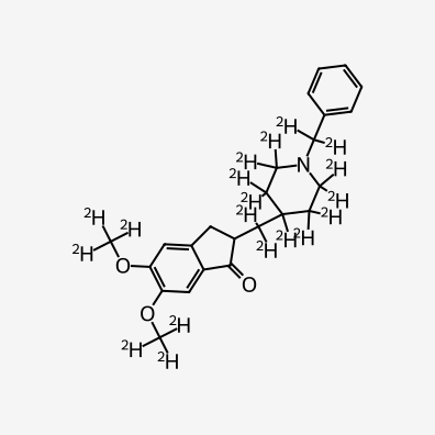 [2H]C([2H])([2H])Oc1cc2c(cc1OC([2H])([2H])[2H])C(=O)C(C([2H])([2H])C1([2H])C([2H])([2H])C([2H])([2H])N(C([2H])([2H])c3ccccc3)C([2H])([2H])C1([2H])[2H])C2